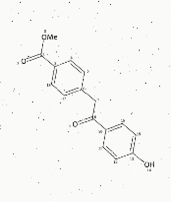 COC(=O)c1ccc(CC(=O)c2ccc(O)cc2)cc1